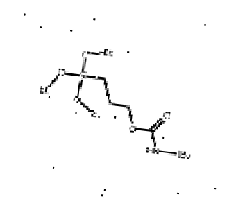 CCO[Si](CCCOC(=O)NC(C)(C)C)(OCC)OCC